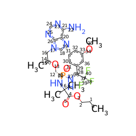 CCCOC(=O)C(C)(C)N[P@](=O)(CO[C@H](C)Cn1cnc2c(N)ncnc21)N[C@H](c1cccc(OC)c1)C(F)(F)F